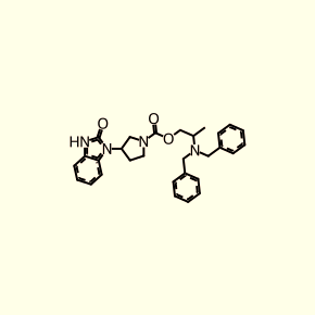 CC(COC(=O)N1CCC(n2c(=O)[nH]c3ccccc32)C1)N(Cc1ccccc1)Cc1ccccc1